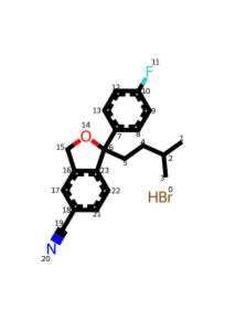 Br.CC(C)CCC1(c2ccc(F)cc2)OCc2cc(C#N)ccc21